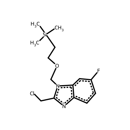 C[Si](C)(C)CCOCn1c(CCl)nc2ccc(F)cc21